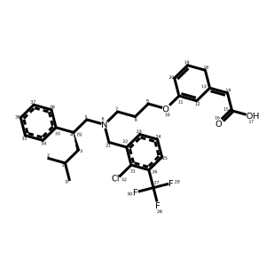 CC(C)C[C@H](CN(CCCOC1=CC(=CC(=O)O)CC=C1)Cc1cccc(C(F)(F)F)c1Cl)c1ccccc1